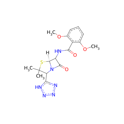 COc1cccc(OC)c1C(=O)NC1C(=O)N2C(c3nnn[nH]3)C(C)(C)S[C@@H]12